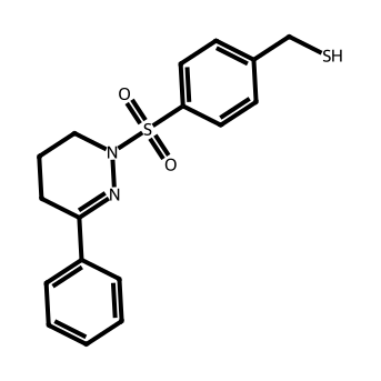 O=S(=O)(c1ccc(CS)cc1)N1CCCC(c2ccccc2)=N1